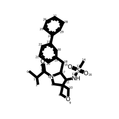 CC(C)C(=O)N1CC2(COC2)C(NS(C)(=O)=O)C1Cc1cccc(-c2ccccc2)c1